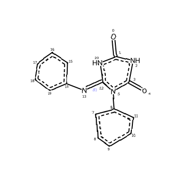 O=c1[nH]c(=O)n(-c2ccccc2)/c(=N/c2ccccc2)[nH]1